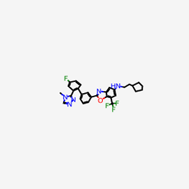 Cn1cnnc1-c1cc(F)ccc1-c1cccc(-c2nc3cc(NCCC4CCCC4)cc(C(F)(F)F)c3o2)c1